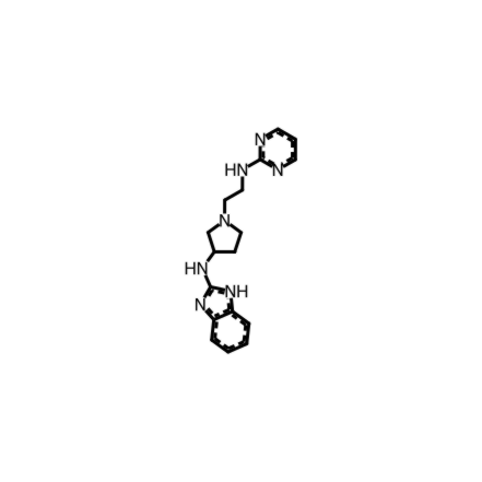 c1cnc(NCCN2CCC(Nc3nc4ccccc4[nH]3)C2)nc1